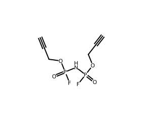 C#CCOP(=O)(F)NP(=O)(F)OCC#C